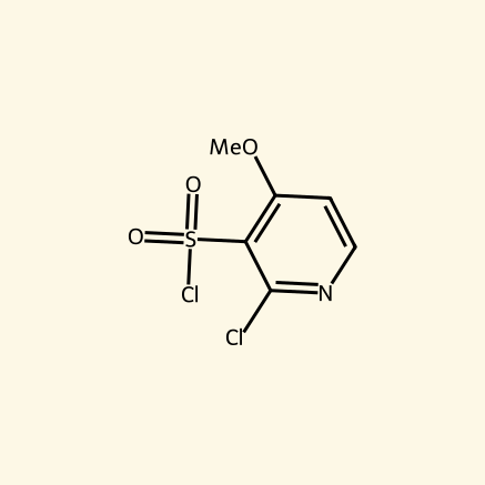 COc1ccnc(Cl)c1S(=O)(=O)Cl